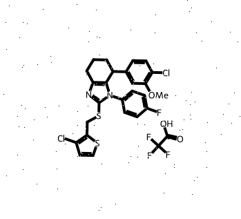 COc1cc(C2CCCc3nc(SCc4sccc4Cl)n(-c4ccc(F)cc4)c32)ccc1Cl.O=C(O)C(F)(F)F